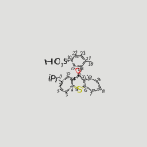 CC(C)c1ccc2sc3ccccc3c(=O)c2c1.Cc1ccc(S(=O)(=O)O)cc1